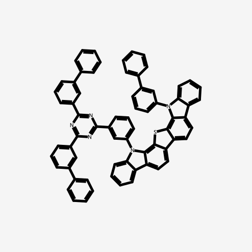 c1ccc(-c2cccc(-c3nc(-c4cccc(-c5ccccc5)c4)nc(-c4cccc(-n5c6ccccc6c6ccc7c8ccc9c%10ccccc%10n(-c%10cccc(-c%11ccccc%11)c%10)c9c8sc7c65)c4)n3)c2)cc1